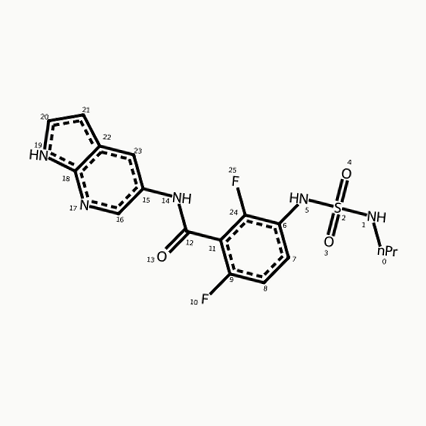 CCCNS(=O)(=O)Nc1ccc(F)c(C(=O)Nc2cnc3[nH]ccc3c2)c1F